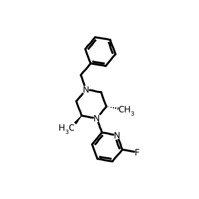 C[C@H]1CN(Cc2ccccc2)C[C@H](C)N1c1cccc(F)n1